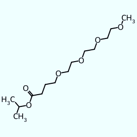 COCCOCCOCCOCCCC(=O)OC(C)C